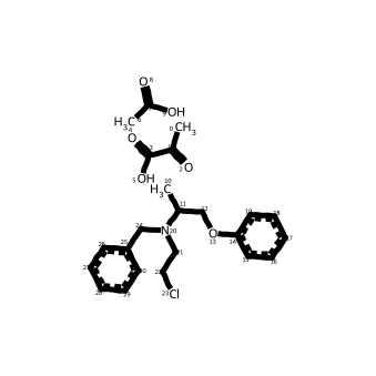 CC(=O)C(=O)O.CC(=O)O.CC(COc1ccccc1)N(CCCl)Cc1ccccc1